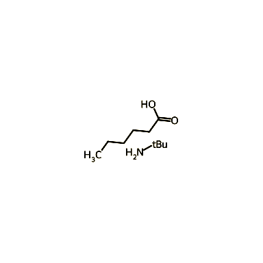 CC(C)(C)N.CCCCCC(=O)O